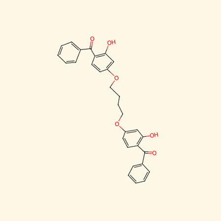 O=C(c1ccccc1)c1ccc(OCCCCOc2ccc(C(=O)c3ccccc3)c(O)c2)cc1O